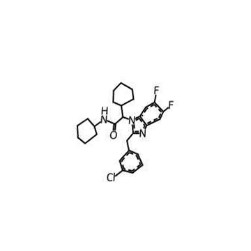 O=C(NC1CCCCC1)C(C1CCCCC1)n1c(Cc2cccc(Cl)c2)nc2cc(F)c(F)cc21